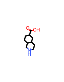 O=C(O)C1CCC2CNCCC2C1